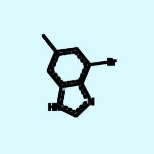 Cc1cc(Br)c2nc[nH]c2c1